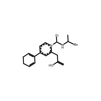 C=C(O)Cc1cc(C2=CCCC=C2)cc[n+]1C(CC)NC(C)C(C)CC